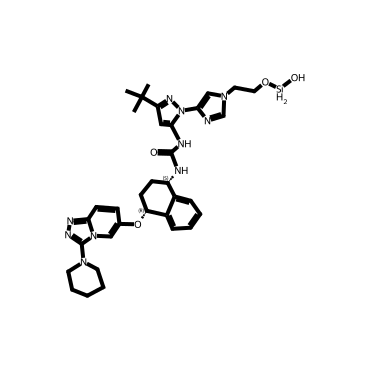 CC(C)(C)c1cc(NC(=O)N[C@H]2CC[C@@H](Oc3ccc4nnc(N5CCCCC5)n4c3)c3ccccc32)n(-c2cn(CCO[SiH2]O)cn2)n1